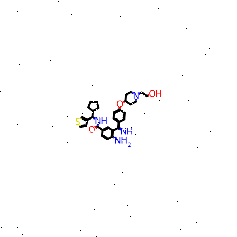 N=C(c1ccc(OC2CCN(CCO)CC2)cc1)c1cc(C(=O)NC(c2ccsc2)C2CCCC2)ccc1N